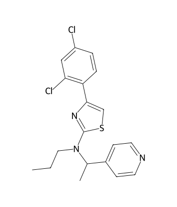 CCCN(c1nc(-c2ccc(Cl)cc2Cl)cs1)C(C)c1ccncc1